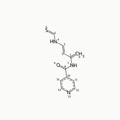 C=C(/C=C/NC=S)NC(=O)c1ccncc1